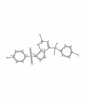 Cc1ccc(C(C)(C)C2=CN(C)Cc3c2ccn3S(=O)(=O)c2ccc(C)cc2)cc1